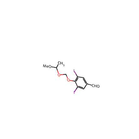 COC(C)OCOc1c(I)cc(C=O)cc1I